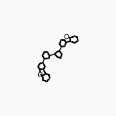 c1cc(-c2cccc(-c3ccc4oc5ccccc5c4c3)c2)cc(-c2ccc3oc4ccccc4c3c2)c1